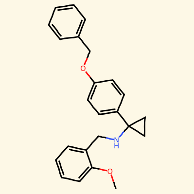 COc1ccccc1CNC1(c2ccc(OCc3ccccc3)cc2)CC1